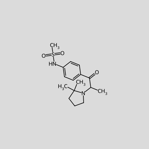 CC(C(=O)c1ccc(NS(C)(=O)=O)cc1)N1CCCC1(C)C